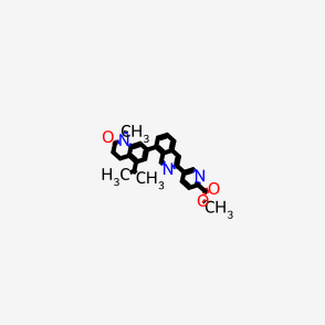 COC(=O)c1ccc(-c2cc3cccc(-c4cc(C(C)C)c5c(c4)N(C)C(=O)CC5)c3cn2)cn1